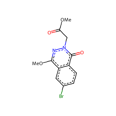 COC(=O)Cn1nc(OC)c2cc(Br)ccc2c1=O